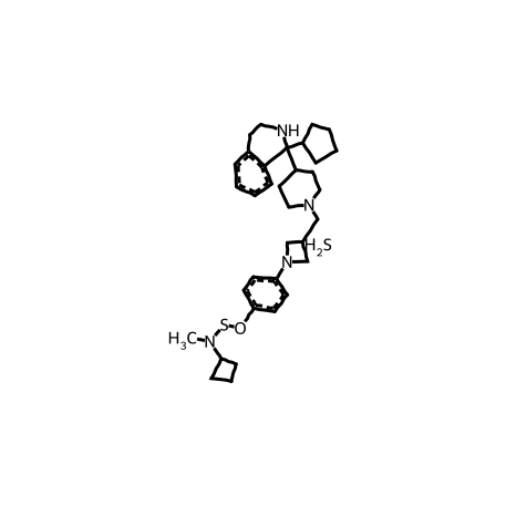 CN(SOc1ccc(N2CC(CN3CCC(C4(C5CCCC5)NCCc5ccccc54)CC3)C2)cc1)C1CCC1.S